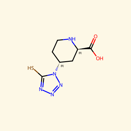 O=C(O)[C@H]1C[C@H](n2nnnc2S)CCN1